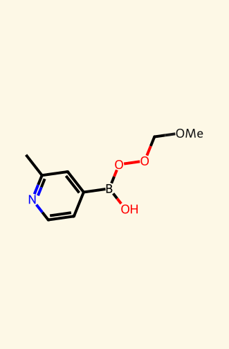 COCOOB(O)c1ccnc(C)c1